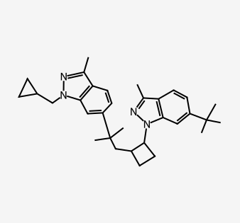 Cc1nn(CC2CC2)c2cc(C(C)(C)CC3CCC3n3nc(C)c4ccc(C(C)(C)C)cc43)ccc12